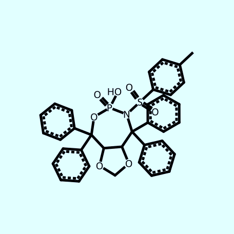 Cc1ccc(S(=O)(=O)N2C(c3ccccc3)(c3ccccc3)C3OCOC3C(c3ccccc3)(c3ccccc3)OP2(=O)O)cc1